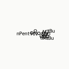 CCCCCc1ccc(C(=O)Nc2ccc(-c3cnc(N(C(=O)OC(C)(C)C)C(=O)OC(C)(C)C)n3C(=O)OC(C)(C)C)cc2)cc1